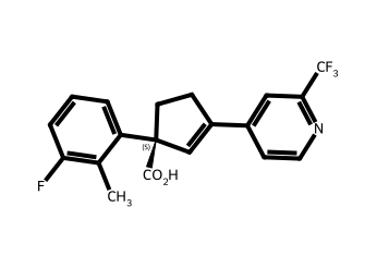 Cc1c(F)cccc1[C@@]1(C(=O)O)C=C(c2ccnc(C(F)(F)F)c2)CC1